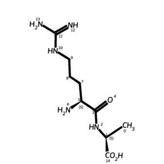 C[C@H](NC(=O)[C@@H](N)CCCNC(=N)N)C(=O)O